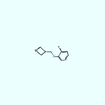 Fc1ccccc1OCC1CNC1